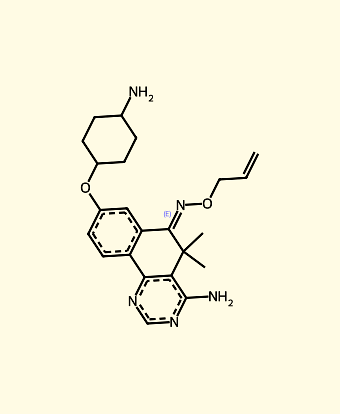 C=CCO/N=C1/c2cc(OC3CCC(N)CC3)ccc2-c2ncnc(N)c2C1(C)C